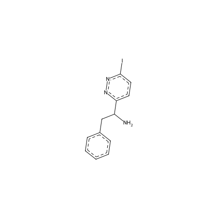 NC(Cc1ccccc1)c1ccc(I)nn1